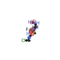 CC1(C)CCC(c2ccc(Cl)cc2)=C(CN2CCN(c3ccc(C(=O)NS(=O)(=O)c4ccc(N[C@H](CCN5C[C@H]6C[C@@H]5CN6Cc5ccc(NC6CCC(=O)NC6=O)cc5)CSc5ccccc5)c(S(=O)(=O)C(F)(F)F)c4)cc3)CC2)C1